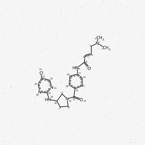 CN(C)C/C=C/C(=O)Nc1ccc(C(=O)N2CCC(Nc3ncc(Cl)cn3)C2)cc1